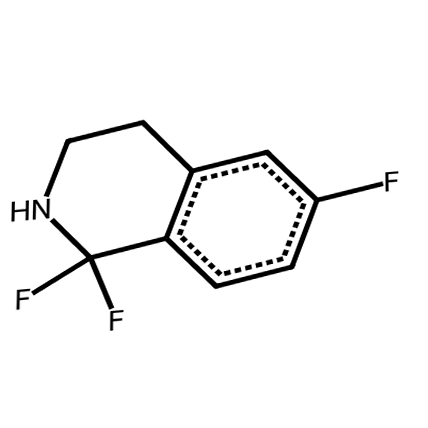 Fc1ccc2c(c1)CCNC2(F)F